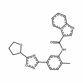 Cc1ccc(-c2noc(C3CCCO3)n2)cc1NC(=O)c1cnc2ccccn12